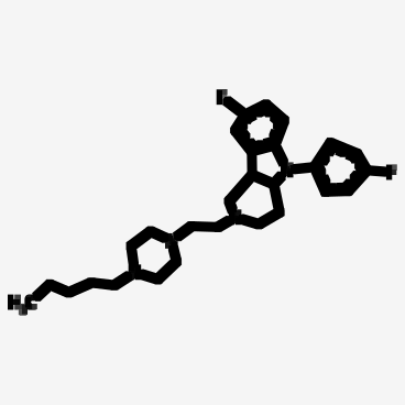 CCCCCN1CCN(CCN2CCC3C(C2)c2cc(F)ccc2N3c2ccc(F)cc2)CC1